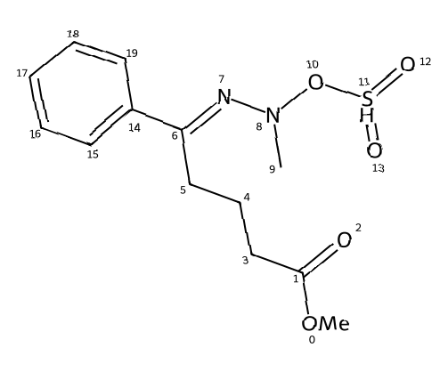 COC(=O)CCCC(=NN(C)O[SH](=O)=O)c1ccccc1